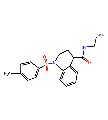 COCNC(=O)C1CCN(S(=O)(=O)c2ccc(C)cc2)c2ccccc21